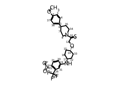 COc1ccc(C2CCN(C(=S)CO[C@H]3CC[C@H](Nc4ccc([N+](=O)[O-])c(C(F)(F)F)c4)CC3)CC2)cc1